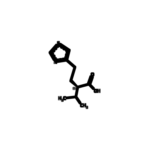 CC(C)[C@@H](CCc1cscn1)C(=O)O